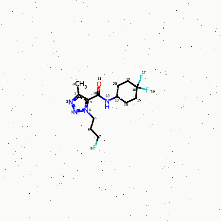 Cc1nnn(CCCF)c1C(=O)NC1CCC(F)(F)CC1